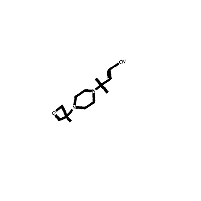 CC(C)(C=CC#N)N1CCN(C2(C)COC2)CC1